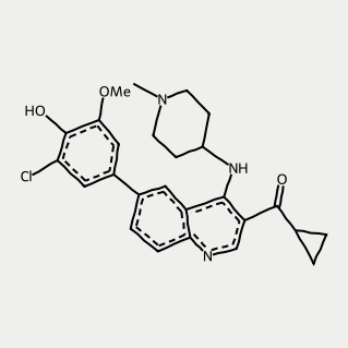 COc1cc(-c2ccc3ncc(C(=O)C4CC4)c(NC4CCN(C)CC4)c3c2)cc(Cl)c1O